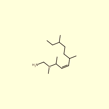 CCC(C)CCC(C)/C=C\C(C)N(C)CN